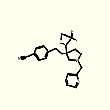 N#Cc1ccc(CC[C@@]2([C@H]3OCC3(F)F)CCN(Cc3ccccn3)C2)cc1